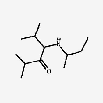 CCC(C)NC(C(=O)C(C)C)C(C)C